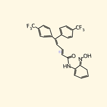 O=C(/C=C/C=C(c1ccc(C(F)(F)F)cc1)c1ccc(C(F)(F)F)cc1)NC1=CC=CCC1=NO